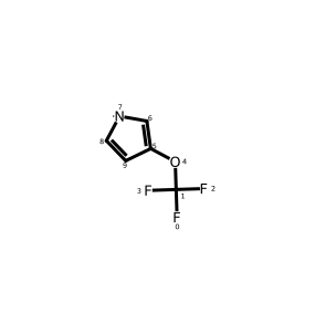 FC(F)(F)OC1=C[N]C=C1